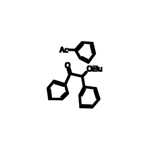 CC(=O)c1ccccc1.CC(C)COC(C(=O)c1ccccc1)c1ccccc1